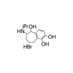 Br.CC(C)NC1CCCc2c(ccc(O)c2O)C1O